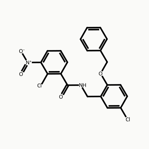 O=C(NCc1cc(Cl)ccc1OCc1ccccc1)c1cccc([N+](=O)[O-])c1Cl